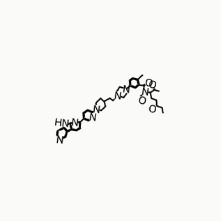 CCC(=O)CCC(C(C)=O)N(C=O)C(=O)c1cc(N2CCN(CCC3CCN(c4ccc(-c5ccc6c(n5)[nH]c5ccncc56)cn4)CC3)CC2)ccc1C